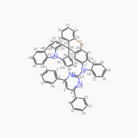 c1ccc(-c2cc(-c3ccccc3)nc(-n3c4ccccc4c4cc5c(cc43)C3(c4ccccc4S5)c4ccccc4-n4c5ccccc5c5cccc3c54)n2)cc1